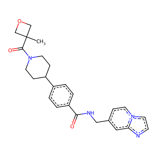 CC1(C(=O)N2CCC(c3ccc(C(=O)NCc4ccn5ccnc5c4)cc3)CC2)COC1